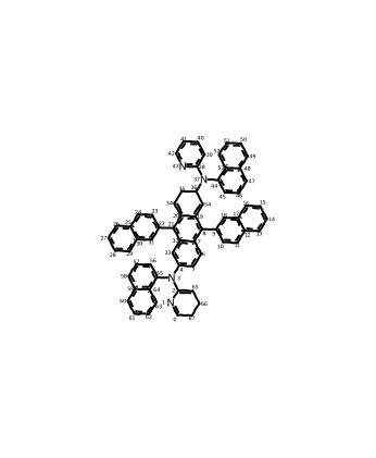 C1=NC(N(c2ccc3c(-c4ccc5ccccc5c4)c4c(c(-c5ccc6ccccc6c5)c3c2)=CCC(N(c2ccccn2)c2cccc3ccccc23)C=4)c2cccc3ccccc23)=CCC1